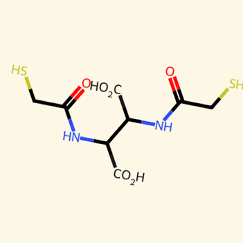 O=C(CS)NC(C(=O)O)C(NC(=O)CS)C(=O)O